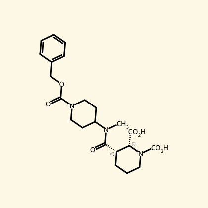 CN(C(=O)[C@H]1CCCN(C(=O)O)[C@H]1C(=O)O)C1CCN(C(=O)OCc2ccccc2)CC1